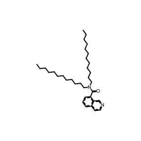 CCCCCCCCCCCCN(CCCCCCCCCCCC)C(=O)c1cccc2ccncc12